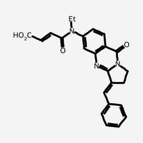 CCN(C(=O)C=CC(=O)O)c1ccc2c(=O)n3c(nc2c1)C(=Cc1ccccc1)CC3